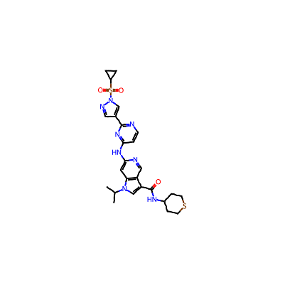 CC(C)n1cc(C(=O)NC2CCSCC2)c2cnc(Nc3ccnc(-c4cnn(S(=O)(=O)C5CC5)c4)n3)cc21